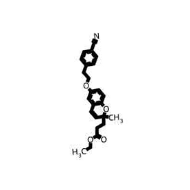 CCOC(=O)CCC1(C)C=Cc2cc(OCCc3ccc(C#N)cc3)ccc2O1